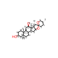 C[C@@H]1CCC2(OC1)OC1CC3C4CC[C@H]5C[C@@H](O)CC[C@]5(C)C4CC(=O)[C@]3(C)C1[C@@H]2C